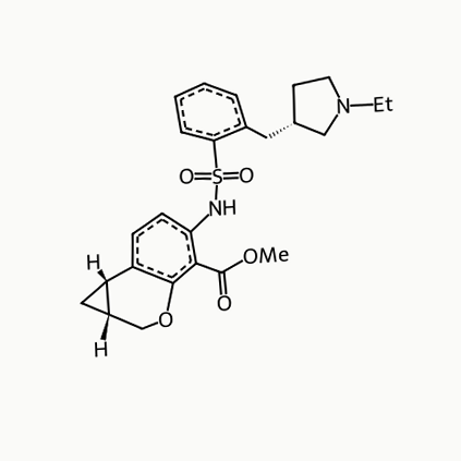 CCN1CC[C@@H](Cc2ccccc2S(=O)(=O)Nc2ccc3c(c2C(=O)OC)OC[C@@H]2C[C@H]32)C1